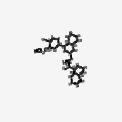 Cc1ccc(-c2cc(CNC(C)c3cccc4ccccc34)cc3ccccc23)cc1C(=O)O